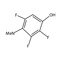 CNc1c(F)cc(O)c(F)c1F